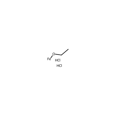 CC[O][Fe].Cl.Cl